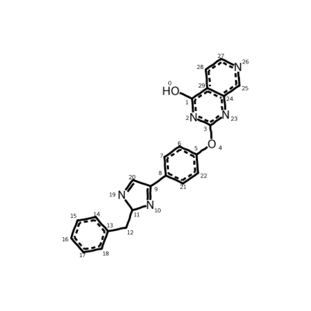 Oc1nc(Oc2ccc(C3=NC(Cc4ccccc4)N=C3)cc2)nc2cnccc12